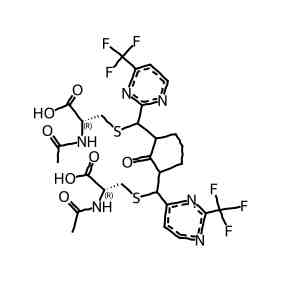 CC(=O)N[C@@H](CSC(c1ccnc(C(F)(F)F)n1)C1CCCC(C(SC[C@H](NC(C)=O)C(=O)O)c2nccc(C(F)(F)F)n2)C1=O)C(=O)O